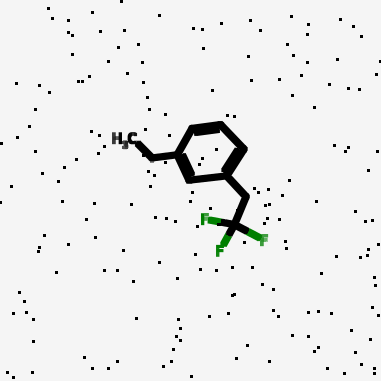 C[CH]c1cccc(CC(F)(F)F)c1